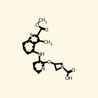 COC(=O)c1sc2cccc(Nc3cccnc3OC3CN(C(=O)O)C3)c2c1C